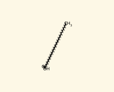 CCCCCCCCCCCCCCCCCCCCCCCCCCCCCCCCCCCCC(=O)O